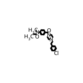 CCC(=O)N(C)c1ccc(C(=O)N2CCN(CCc3ccc(Cl)cc3)CC2)cc1